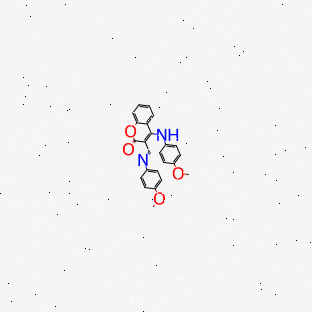 COc1ccc(/N=C/c2c(Nc3ccc(OC)cc3)c3ccccc3oc2=O)cc1